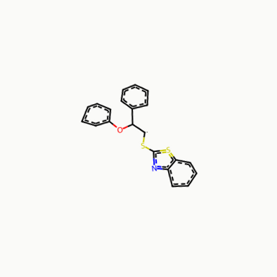 [CH](Sc1nc2ccccc2s1)C(Oc1ccccc1)c1ccccc1